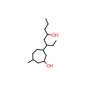 CCCC(O)CC(CC)C1CCC(C)CC(O)C1